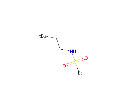 CCS(=O)(=O)NCCC(C)(C)C